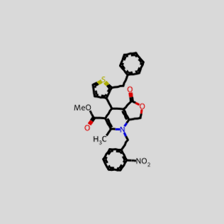 COC(=O)C1=C(C)N(Cc2ccccc2[N+](=O)[O-])C2=C(C(=O)OC2)C1c1ccsc1Cc1ccccc1